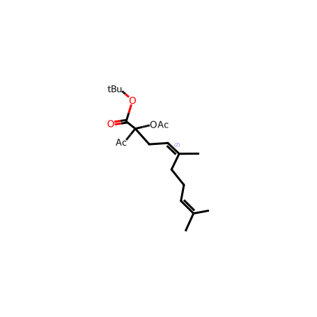 CC(=O)OC(C/C=C(/C)CCC=C(C)C)(C(C)=O)C(=O)OC(C)(C)C